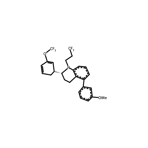 COc1cccc(-c2cccc3c2CC[C@H](C2C=C(OC(F)(F)F)C=CC2)N3CCC(F)(F)F)c1